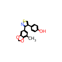 Cc1cc(-c2nscc2-c2ccc(O)cc2)cc2c1OCO2